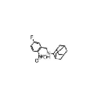 O=[N+]([O-])c1ccc(F)cc1CNC1C2CC3CC(C2)CC1C3